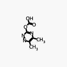 Cc1nnc(OC(=O)O)nc1C